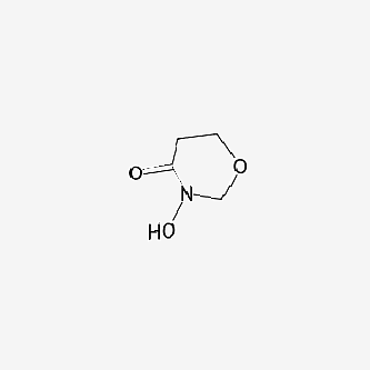 O=C1CCOCN1O